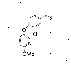 COc1ccc(Oc2ccc(C=S)cc2)c(Cl)n1